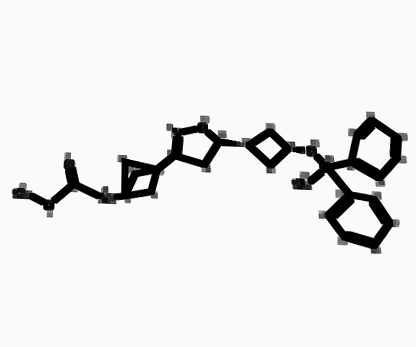 CC(C)(C)OC(=O)NC12CC(C3=NOC([C@H]4C[C@@H](O[Si](c5ccccc5)(c5ccccc5)C(C)(C)C)C4)C3)(C1)C2